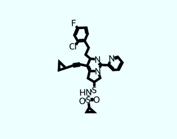 O=S(=O)(NSC1CC2=C(C#CC3CC3)C(CCc3ccc(F)cc3Cl)N=C(c3ccccn3)N2C1)C1CC1